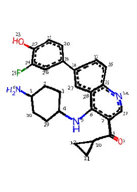 NC1CCC(Nc2c(C(=O)C3CC3)cnc3ccc(-c4ccc(O)c(F)c4)cc23)CC1